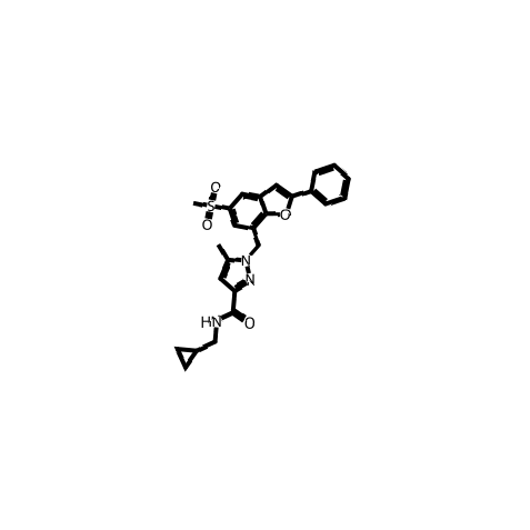 Cc1cc(C(=O)NCC2CC2)nn1Cc1cc(S(C)(=O)=O)cc2cc(-c3ccccc3)oc12